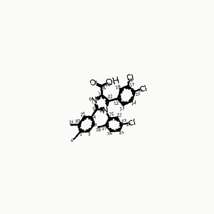 Cc1ccc(-c2nc(C(=O)O)c(-c3ccc(Cl)c(Cl)c3)n2-c2cc(Cl)ccc2C)cc1C